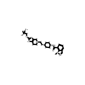 Cn1ncc2cccc(C(=O)N[C@H]3CC[C@H](CCN4CCc5sc(OCC(C)(F)F)nc5C4)CC3)c21